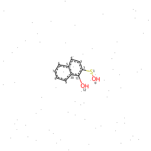 OSc1ccc2ccccc2c1O